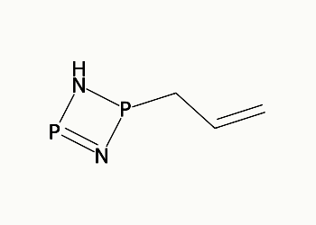 C=CCp1np[nH]1